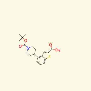 CC(C)(C)OC(=O)N1CCC(c2cccc3sc(C(=O)O)cc23)CC1